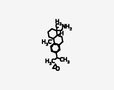 C1CO1.CC(C)c1ccc2c(c1)CC[C@H]1[C@@](C)(CN)CCC[C@]21C